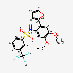 COc1cc(NS(=O)(=O)c2cccc(C(F)(F)F)c2)c(-c2ccco2)cc1OC